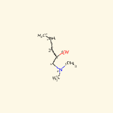 CBCC(O)CN(C)C